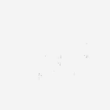 C[C@@H](c1c[nH]c(=O)c2cc(F)c(F)cc12)N(C)C(=O)c1[nH]c2ccccc2c1Cl